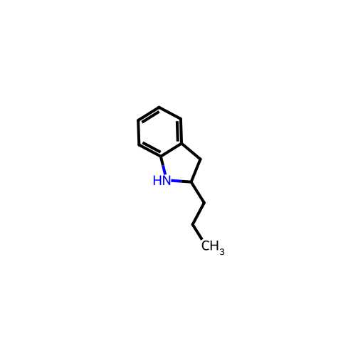 CCCC1Cc2ccccc2N1